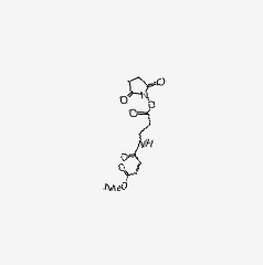 COC(=O)/C=C\C(=O)NCCC(=O)ON1C(=O)CCC1=O